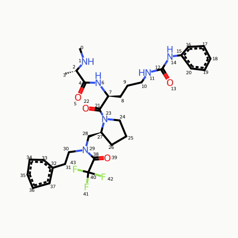 CN[C@@H](C)C(=O)N[C@@H](CCCNC(=O)Nc1ccccc1)C(=O)N1CCC[C@H]1CN(CCc1ccccc1)C(=O)C(F)(F)F